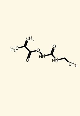 C=C(C)C(=O)ONC(=O)NCC